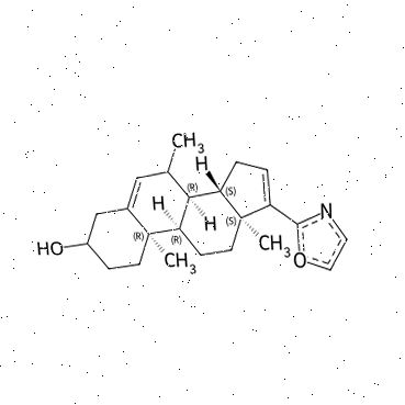 CC1C=C2CC(O)CC[C@]2(C)[C@@H]2CC[C@]3(C)C(c4ncco4)=CC[C@H]3[C@H]12